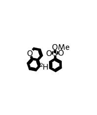 COS(=O)(=O)c1ccccc1.[2H]c1cccc2c1C=CCO2